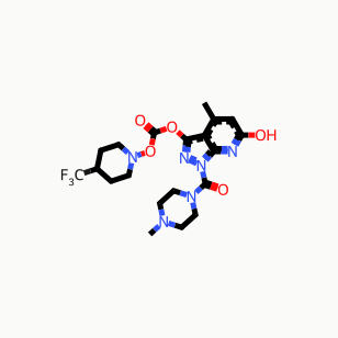 Cc1cc(O)nc2c1c(OC(=O)ON1CCC(C(F)(F)F)CC1)nn2C(=O)N1CCN(C)CC1